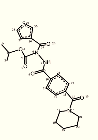 CC(C)OC(=O)N(NC(=O)c1ccc(C(=O)N2CCCCC2)cc1)C(=O)c1ccsc1